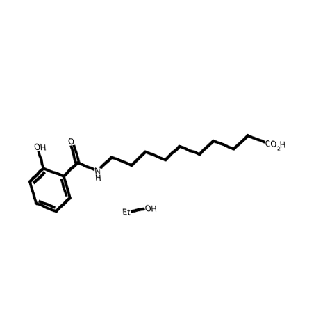 CCO.O=C(O)CCCCCCCCCNC(=O)c1ccccc1O